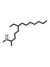 CCCCCCCC(CC)CCCC(C)NC